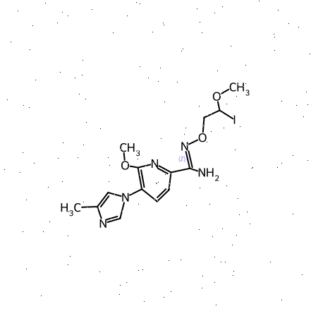 COc1nc(/C(N)=N/OCC(I)OC)ccc1-n1cnc(C)c1